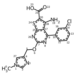 Cn1cnc(COc2nc(-c3cccc(Cl)c3)c3c(N)c(C(=O)O)sc3n2)c1